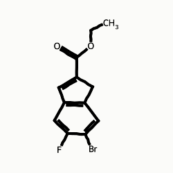 CCOC(=O)C1=Cc2cc(F)c(Br)cc2C1